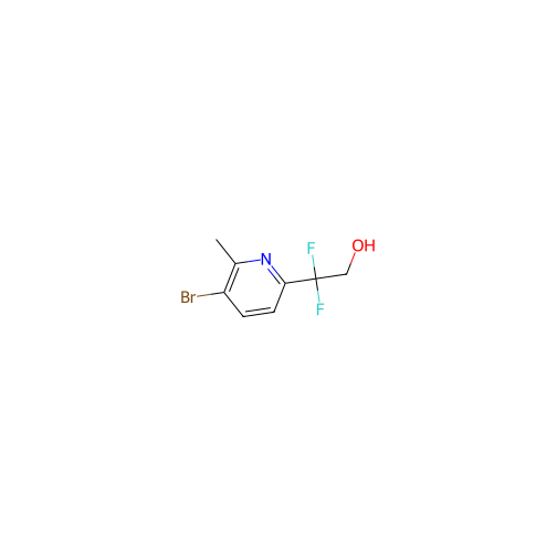 Cc1nc(C(F)(F)CO)ccc1Br